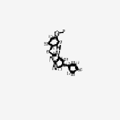 COc1ccc(Cc2nc3ncc(-c4ccccc4)cc3[nH]2)cc1